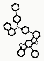 c1ccc(-c2ccc(N(c3ccc(-c4cccc5oc6c(-c7ccccc7)c7c(cc6c45)oc4ccccc47)cc3)c3cccc4ccccc34)cc2)cc1